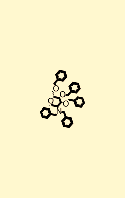 [CH]1O[C@H](COCc2ccccc2)[C@H](OCc2ccccc2)[C@H](OCc2ccccc2)[C@H]1N(Cc1ccccc1)Cc1ccccc1